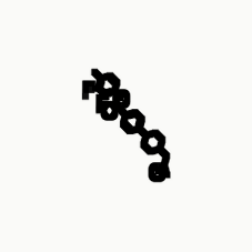 Cc1ccc(OC(=O)c2ccc(C3CCC(CC4CO4)CC3)cc2)c(F)c1F